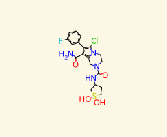 NC(=O)c1c(-c2cccc(F)c2)c(Cl)n2c1CN(C(=O)NC1CCS(O)(O)C1)CC2